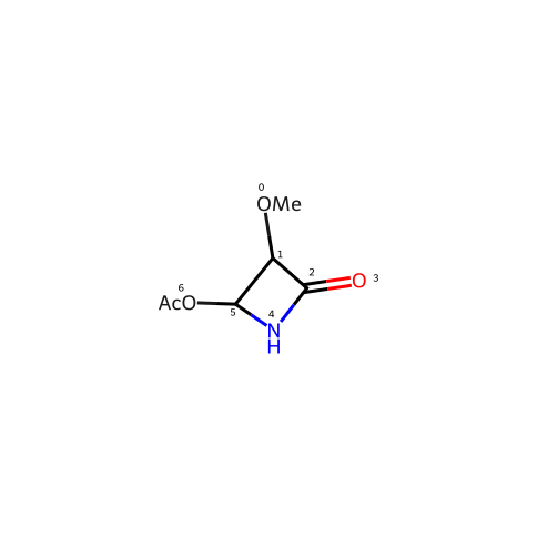 COC1C(=O)NC1OC(C)=O